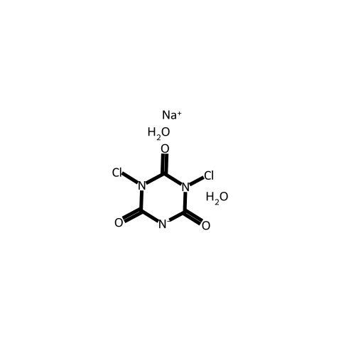 O.O.O=c1[n-]c(=O)n(Cl)c(=O)n1Cl.[Na+]